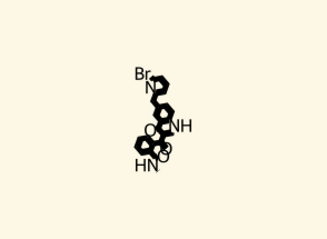 CNC(=O)c1ccccc1C(=O)c1c[nH]c2ccc(Cc3cccc(Br)n3)cc2c1=O